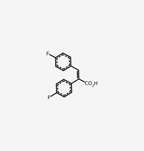 O=C(O)C(=Cc1ccc(F)cc1)c1ccc(F)cc1